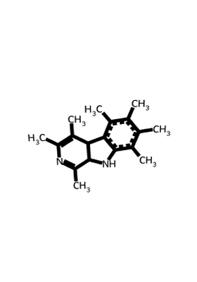 CC1=NC(C)=C(C)C2c3c(C)c(C)c(C)c(C)c3NC12